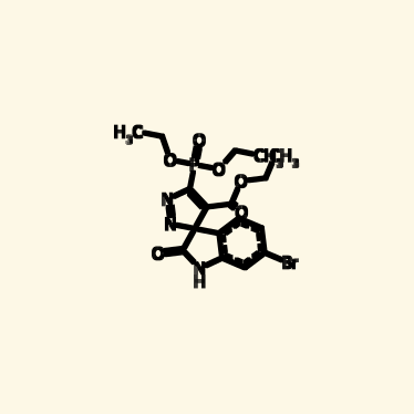 CCOC(=O)C1=C(P(=O)(OCC)OCC)N=NC12C(=O)Nc1cc(Br)ccc12